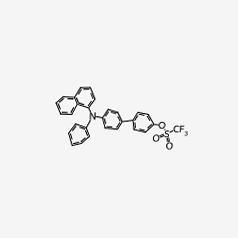 O=S(=O)(Oc1ccc(-c2ccc(N(c3ccccc3)c3cccc4ccccc34)cc2)cc1)C(F)(F)F